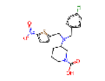 O=C(O)N1CCCC(N(Cc2ccc(Cl)cc2)Cc2ccc([N+](=O)[O-])s2)C1